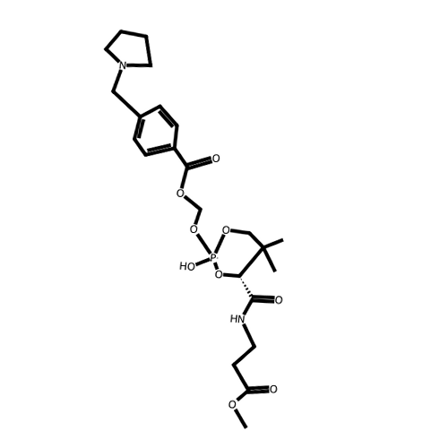 COC(=O)CCNC(=O)[C@@H]1O[P](O)(OCOC(=O)c2ccc(CN3CCCC3)cc2)OCC1(C)C